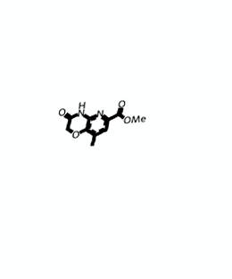 COC(=O)c1cc(C)c2c(n1)NC(=O)CO2